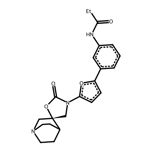 CCC(=O)Nc1cccc(-c2ccc(N3C[C@@]4(CN5CCC4CC5)OC3=O)o2)c1